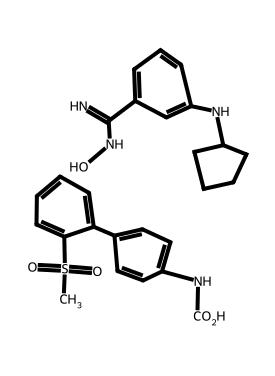 CS(=O)(=O)c1ccccc1-c1ccc(NC(=O)O)cc1.N=C(NO)c1cccc(NC2CCCC2)c1